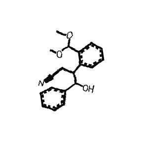 COC(OC)c1ccccc1C(CC#N)C(O)c1ccccc1